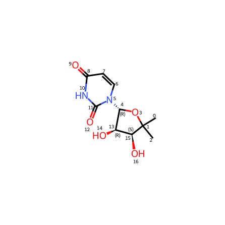 CC1(C)O[C@@H](n2ccc(=O)[nH]c2=O)[C@H](O)[C@@H]1O